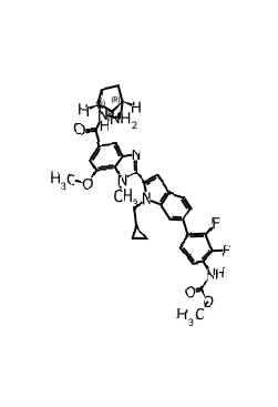 COC(=O)Nc1ccc(-c2ccc3cc(-c4nc5cc(C(=O)N6C[C@H]7CC[C@@H]6[C@@H]7N)cc(OC)c5n4C)n(CC4CC4)c3c2)c(F)c1F